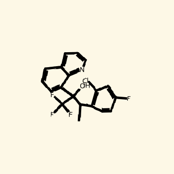 CC(c1ccc(F)cc1Cl)C(O)(c1cccc2cccnc12)C(F)(F)F